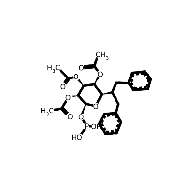 CC(=O)O[C@H]1[C@@H](OC(C)=O)[C@@H](C(Cc2ccccc2)Cc2ccccc2)O[C@@H](OP(O)O)[C@@H]1OC(C)=O